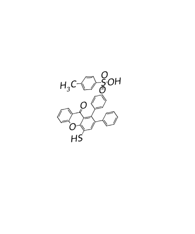 Cc1ccc(S(=O)(=O)O)cc1.O=c1c2ccccc2oc2c(S)cc(-c3ccccc3)c(-c3ccccc3)c12